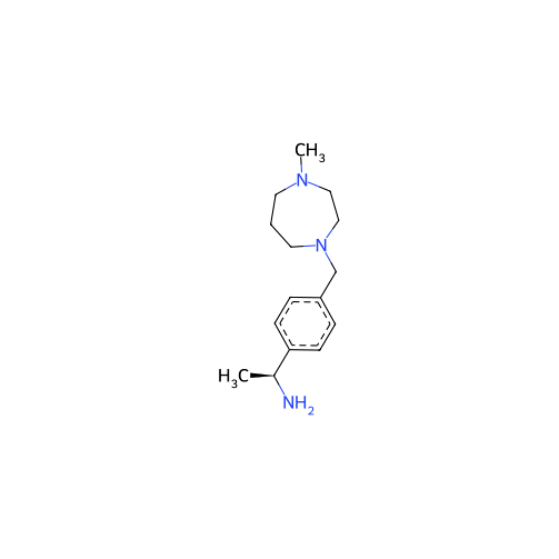 C[C@H](N)c1ccc(CN2CCCN(C)CC2)cc1